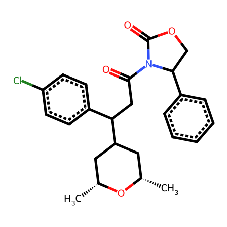 C[C@@H]1CC(C(CC(=O)N2C(=O)OCC2c2ccccc2)c2ccc(Cl)cc2)C[C@H](C)O1